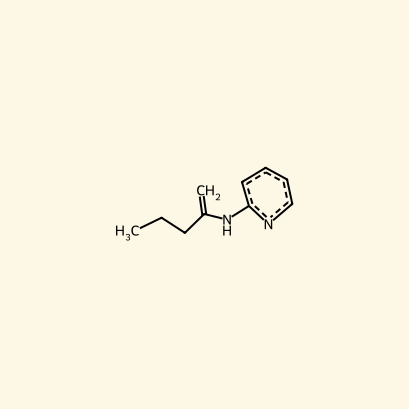 C=C(CCC)Nc1ccccn1